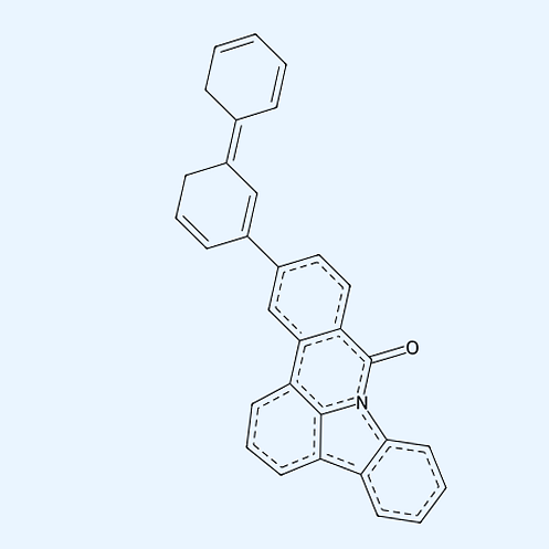 O=c1c2ccc(C3=C/C(=C4\C=CC=CC4)CC=C3)cc2c2cccc3c4ccccc4n1c23